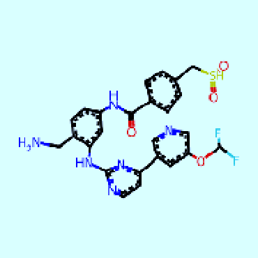 NCc1ccc(NC(=O)c2ccc(C[SH](=O)=O)cc2)cc1Nc1nccc(-c2cncc(OC(F)F)c2)n1